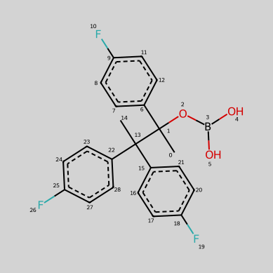 CC(OB(O)O)(c1ccc(F)cc1)C(C)(c1ccc(F)cc1)c1ccc(F)cc1